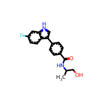 CC(CO)NC(=O)c1ccc(-c2c[nH]c3cc(F)ccc23)cc1